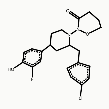 O=C1CCCON1N1CCC(c2ccc(O)c(F)c2)CC1Cc1ccc(Cl)cc1